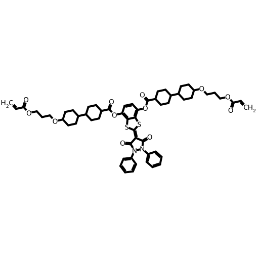 C=CC(=O)OCCCOC1CCC(C2CCC(C(=O)Oc3ccc(OC(=O)C4CCC(C5CCC(OCCCOC(=O)C=C)CC5)CC4)c4c3SC(=C3C(=O)N(c5ccccc5)N(c5ccccc5)C3=O)S4)CC2)CC1